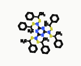 CC(SN(SC(C)c1ccccc1)c1nc(N(SC(C)c2ccccc2)SC(C)c2ccccc2)nc(N(SC(C)c2ccccc2)SC(C)c2ccccc2)n1)c1ccccc1